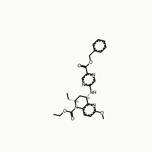 CCOC(=O)N1c2ccc(OC)nc2[C@@H](Nc2cnc(C(=O)OCc3ccccc3)cn2)C[C@H]1CC